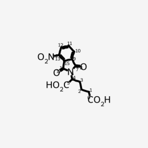 O=C(O)CCCC(C(=O)O)N1C(=O)c2cccc([N+](=O)[O-])c2C1=O